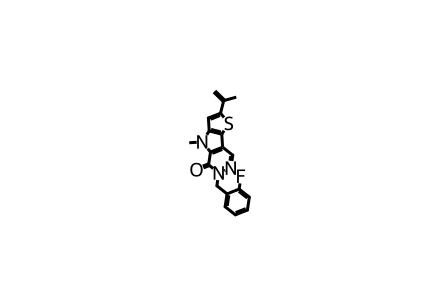 C=C(C)c1cc2c(s1)c1cnn(Cc3ccccc3F)c(=O)c1n2C